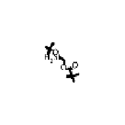 CC(C)(C)O[SiH2]COC(=O)C(C)(C)C